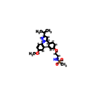 COc1ccc(-n2nc(C(C)C)cc2-c2ccc(OCCNS(C)(=O)=O)cc2)cc1